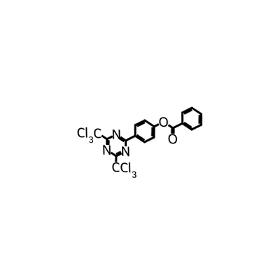 O=C(Oc1ccc(-c2nc(C(Cl)(Cl)Cl)nc(C(Cl)(Cl)Cl)n2)cc1)c1ccccc1